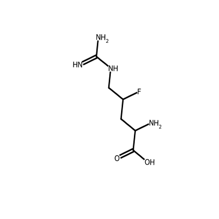 N=C(N)NCC(F)CC(N)C(=O)O